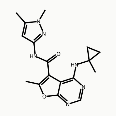 Cc1oc2ncnc(NC3(C)CC3)c2c1C(=O)Nc1cc(C)n(C)n1